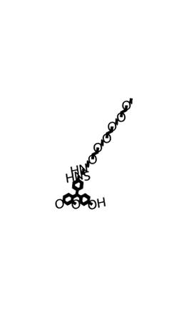 CCOCCOCCOCCOCCOCCOCCNC(=S)Nc1ccc(-c2c3ccc(=O)cc-3oc3cc(O)ccc23)cc1